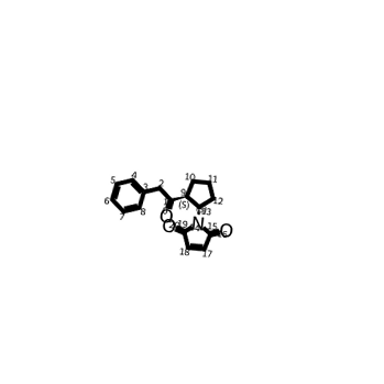 O=C(Cc1ccccc1)[C@H]1CCC[C@@H]1N1C(=O)C=CC1=O